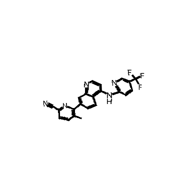 Cc1ccc(C#N)nc1-c1ccc2c(Nc3ccc(C(F)(F)F)cn3)ccnc2c1